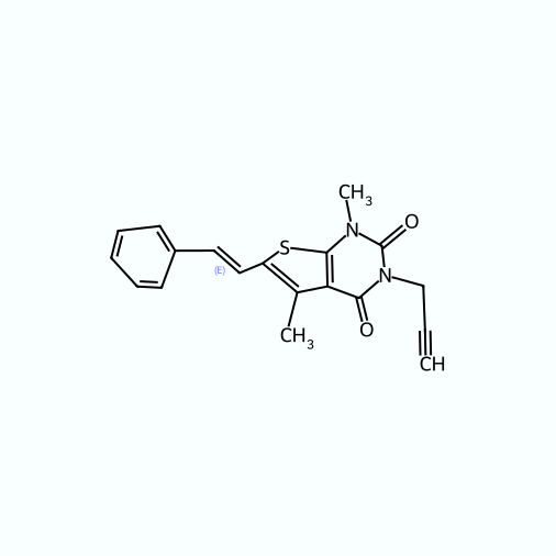 C#CCn1c(=O)c2c(C)c(/C=C/c3ccccc3)sc2n(C)c1=O